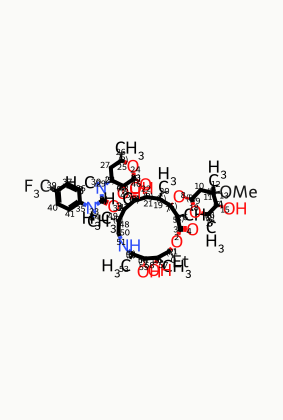 CC[C@H]1OC(=O)[C@H](C)[C@@H](O[C@H]2C[C@@](C)(OC)[C@@H](O)[C@H](C)O2)[C@H](C)[C@@H](O[C@@H]2O[C@H](C)C[C@H](N(C)C(=O)N(C)c3ccc(C(F)(F)F)cc3)[C@H]2O)[C@](C)(O)C[C@@H](C)CN[C@H](C)[C@@H](O)[C@]1(C)O